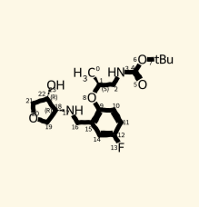 C[C@@H](CNC(=O)OC(C)(C)C)Oc1ccc(F)cc1CN[C@@H]1COC[C@@H]1O